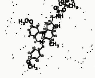 COc1ccc(CN(Cc2ccc(OC)cc2)c2nc3cc(CNC(=O)OC(C)(C)C)[nH]c3cc2C)cc1